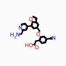 N#Cc1ccc(CC(=O)O)c(OCc2cc(-c3ccnc(CN)c3)c3occc3c2)c1